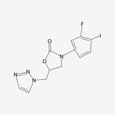 O=C1OC(Cn2ccnn2)CN1c1ccc(I)c(F)c1